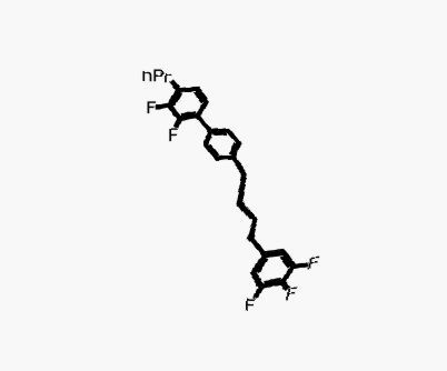 CCCc1ccc(-c2ccc(CCCCc3cc(F)c(F)c(F)c3)cc2)c(F)c1F